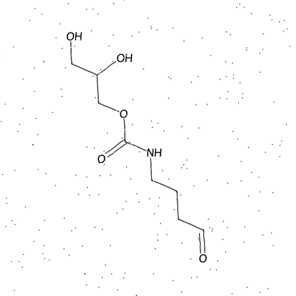 O=CCCCNC(=O)OCC(O)CO